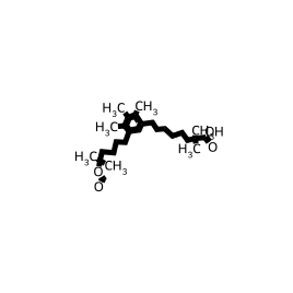 Cc1c(CCCCCCC(C)(C)C(=O)O)cc(CCCCC(C)(C)OC=O)c(C)c1C